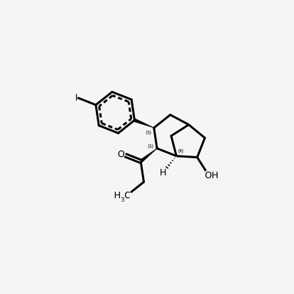 CCC(=O)[C@H]1[C@@H](c2ccc(I)cc2)CC2CC(O)[C@@H]1C2